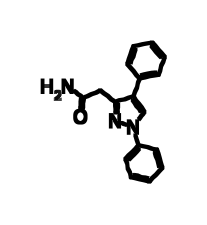 NC(=O)Cc1nn(-c2ccccc2)cc1-c1ccccc1